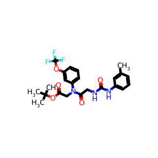 Cc1cccc(NC(=O)NCC(=O)N(CC(=O)OC(C)(C)C)c2cccc(OC(F)(F)F)c2)c1